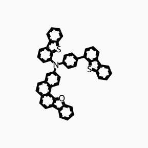 c1ccc2c(c1)oc1c2ccc2ccc3cc(N(c4ccc(-c5cccc6c5sc5ccccc56)cc4)c4cccc5c4sc4ccccc45)ccc3c21